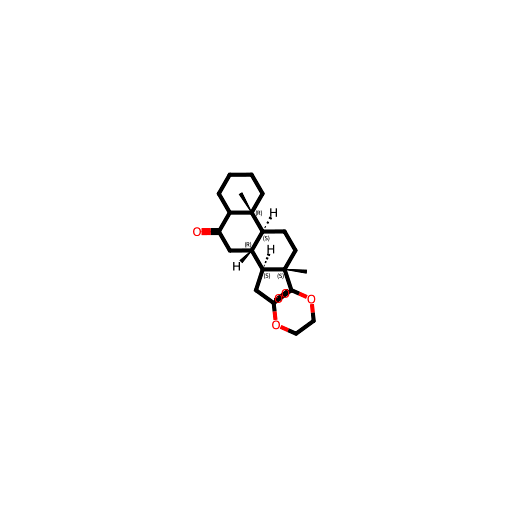 C[C@]12CCCCC1C(=O)C[C@@H]1[C@@H]2CC[C@@]2(C)[C@H]1CC13OCCOC12OCCO3